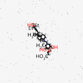 C=C1/C(=C\C=C2/CCC[C@]3(C)[C@@H]([C@H](C)CC#CC(O)(CC)CC)CC[C@@H]23)C[C@@H](O)[C@H](OCCC(=O)O)[C@@H]1O